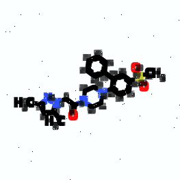 Cc1cc(C)n(CC(=O)N2CCN(c3ccc(S(C)(=O)=O)cc3-c3ccccc3)CC2)n1